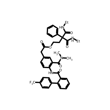 CCNC(=O)C(CCOC(=O)Cc1ccc(NC(=O)c2ccccc2-c2ccc(C(F)(F)F)cc2)c(C(=O)N(C)C)c1)(C(=O)NCC)c1ccccc1